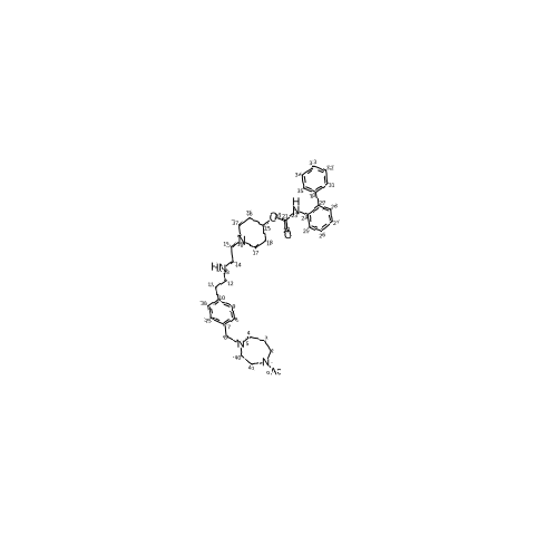 CC(=O)N1CCCN(Cc2ccc(CCNCCN3CCC(OC(=O)Nc4ccccc4-c4ccccc4)CC3)cc2)CC1